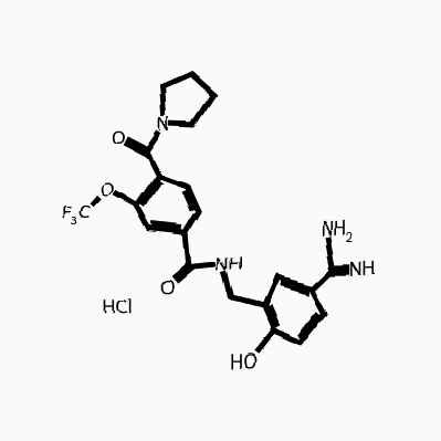 Cl.N=C(N)c1ccc(O)c(CNC(=O)c2ccc(C(=O)N3CCCC3)c(OC(F)(F)F)c2)c1